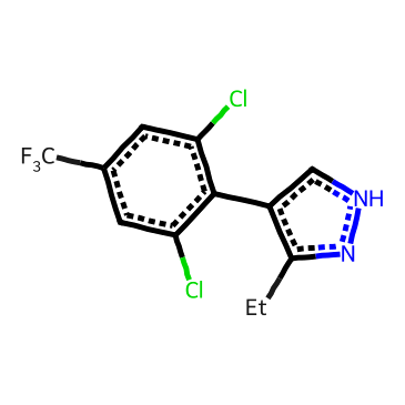 CCc1n[nH]cc1-c1c(Cl)cc(C(F)(F)F)cc1Cl